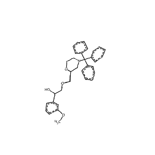 COc1cccc(C(O)COCC2CN(C(c3ccccc3)(c3ccccc3)c3ccccc3)CCO2)c1